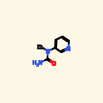 CCN(C(N)=O)c1cccnc1